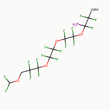 COC(F)(F)C(F)(P)OC(F)(F)C(F)(F)OC(F)(F)C(F)(F)OC(F)(F)C(F)(F)COC(F)F